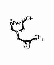 CCCCCCN(CCO)CC1OC1C